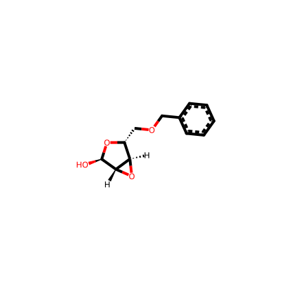 O[C@H]1O[C@H](COCc2ccccc2)[C@H]2O[C@@H]21